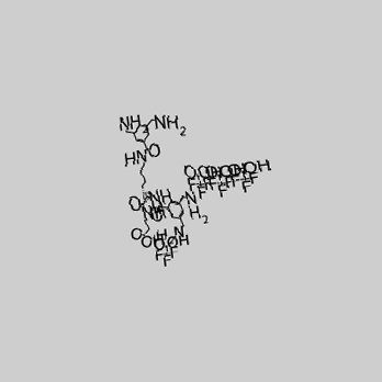 NCc1cc(CN)cc(C(=O)NCCCC[C@H](NC(=O)c2cc(CN)cc(CN)c2)C(=O)NCCC(=O)O)c1.O=C(O)C(F)(F)F.O=C(O)C(F)(F)F.O=C(O)C(F)(F)F.O=C(O)C(F)(F)F